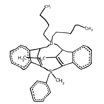 CCC[CH2][Zr]1([CH2]CCC)[CH]2C(C)=C(c3ccccc32)[Si](C)(c2ccccc2)C2=C(C)[CH]1c1ccccc12